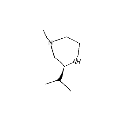 CC(C)[C@H]1CN(C)CCN1